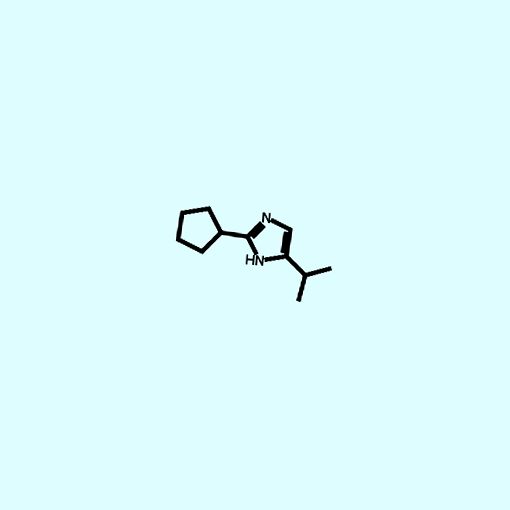 CC(C)c1cnc(C2CCCC2)[nH]1